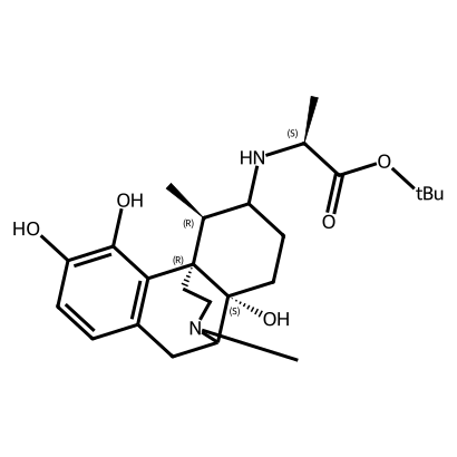 C[C@H](NC1CC[C@@]2(O)C3Cc4ccc(O)c(O)c4[C@@]2(CCN3C)[C@H]1C)C(=O)OC(C)(C)C